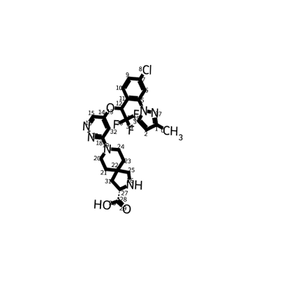 Cc1ccn(-c2cc(Cl)ccc2C(Oc2cnnc(N3CCC4(CC3)CN[C@H](C(=O)O)C4)c2)C(F)(F)F)n1